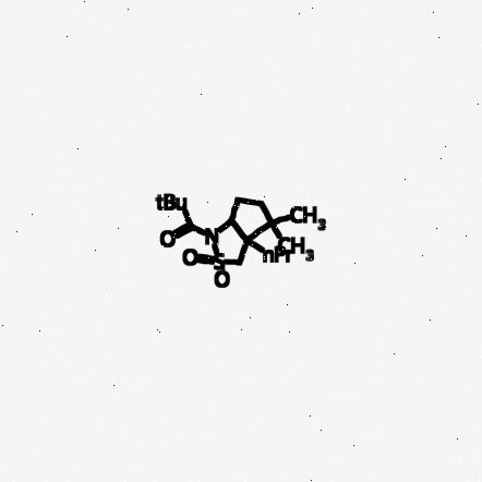 CCCC12CS(=O)(=O)N(C(=O)C(C)(C)C)C1CCC2(C)C